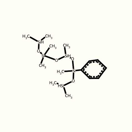 C[SiH](C)O[Si](C)(C)O[SiH](C)O[Si](C)(O[SiH](C)C)c1ccccc1